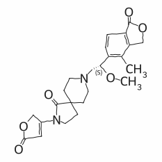 CO[C@H](CN1CCC2(CC1)CCN(C1=CC(=O)OC1)C2=O)c1ccc2c(c1C)COC2=O